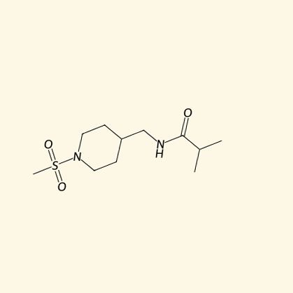 CC(C)C(=O)NCC1CCN(S(C)(=O)=O)CC1